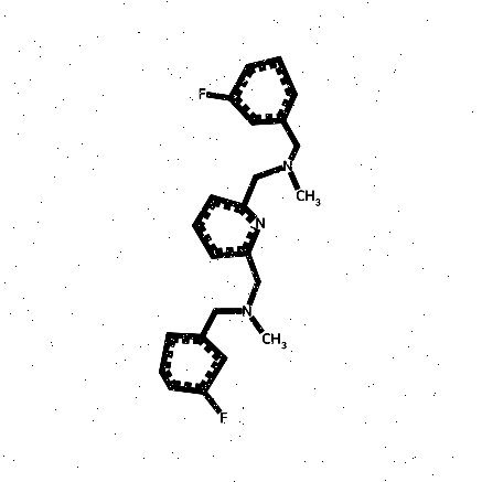 CN(Cc1cccc(F)c1)Cc1cccc(CN(C)Cc2cccc(F)c2)n1